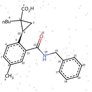 CCCCC1(C(=O)O)C[C@H]1c1ccc(C)cc1C(=O)NCc1ccccc1